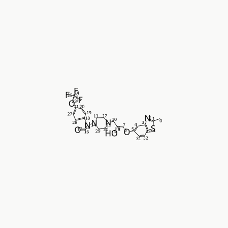 Cc1nc2cc(OC[C@H](O)CN3CCN(N(C=O)c4ccc(OC(F)(F)F)cc4)CC3)ccc2s1